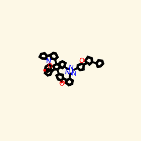 c1ccc(-c2ccc3oc4cc(-c5nc(-c6ccccc6)nc(-c6cccc7oc8ccc(-c9ccc(-c%10cccc%11c%12ccccc%12n(-c%12ccccc%12)c%10%11)c%10oc%11ccccc%11c9%10)cc8c67)n5)ccc4c3c2)cc1